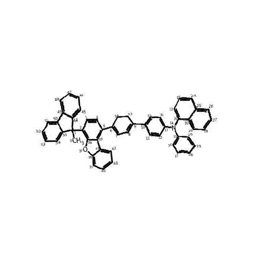 CC1(c2ccc(C3=CC=C(c4ccc(N(c5ccccc5)c5cccc6ccccc56)cc4)CC3)c3c2oc2ccccc23)c2ccccc2-c2ccccc21